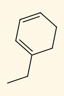 CCC1=CC=CCC1